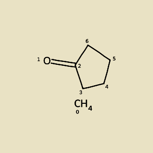 C.O=C1CCCC1